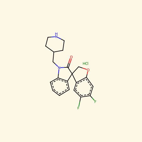 Cl.O=C1N(CC2CCNCC2)c2ccccc2C12COc1cc(F)c(F)cc12